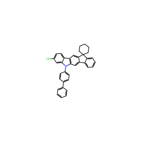 Clc1ccc2c3cc4c(cc3n(-c3ccc(-c5ccccc5)cc3)c2c1)-c1ccccc1C41CCCCC1